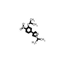 CC(C)Oc1cc(-c2cnn(C(C)C)c2)ccc1[N+](=O)[O-]